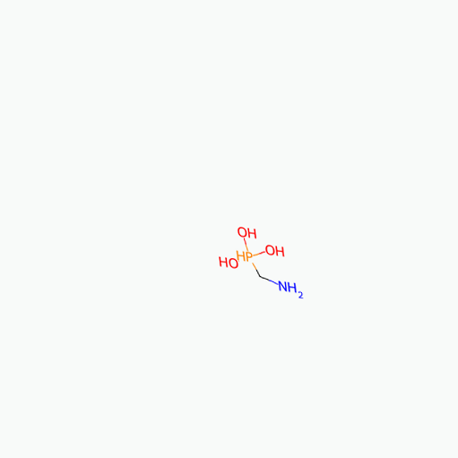 NC[PH](O)(O)O